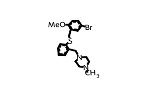 COc1ccc(Br)cc1CSc1ccccc1CN1CCN(C)CC1